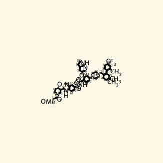 COCC(=O)N1CCCC(CNc2ccc(S(=O)(=O)NC(=O)c3ccc(N4CCN(CC5=C(c6ccc(C(F)(F)F)cc6C)CC(C)(C)CC5)CC4)cc3Oc3cnc4[nH]ccc4c3)cc2[N+](=O)[O-])C1